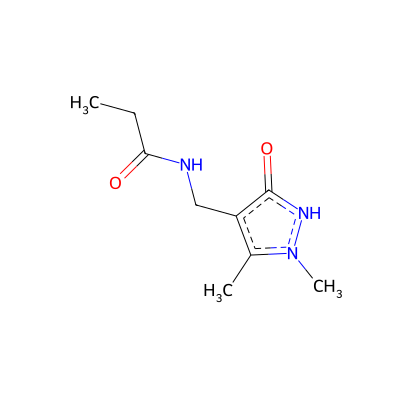 CCC(=O)NCc1c(C)n(C)[nH]c1=O